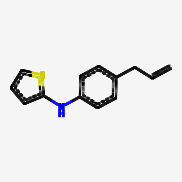 C=CCc1ccc(Nc2cccs2)cc1